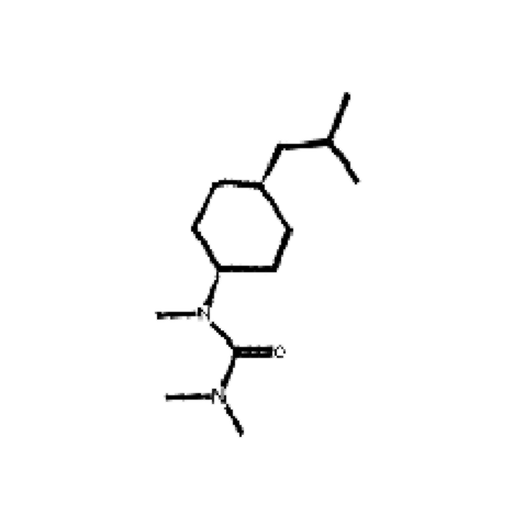 CC(C)C[C@H]1CC[C@@H](N(C)C(=O)N(C)C)CC1